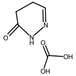 O=C(O)O.O=C1CCC=NN1